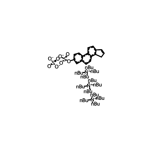 CCCC[N+](CCCC)(CCCC)CCCC.CCCC[N+](CCCC)(CCCC)CCCC.CCCC[N+](CCCC)(CCCC)CCCC.O=S(=O)([O-])Oc1ccc2c(ccc3c4c(ccc32)C=CC4)c1.O=S(=O)([O-])[O-]